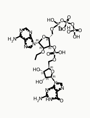 CCO[C@@H]1[C@H](OP(=O)(O)OC[C@H]2O[C@@H](n3cnc4c(=O)[nH]c(N)nc43)[C@H](O)[C@@H]2O)[C@@H](COP(=O)(O)OP(=O)(O)OP(=O)(O)O)O[C@H]1n1cnc2c(N)ncnc21